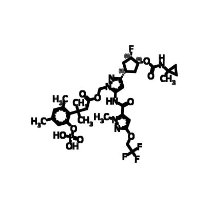 Cc1cc(C)c(C(C)(C)CC(=O)OCn2nc([C@@H]3C[C@H](F)[C@H](OC(=O)NC4(C)CC4)C3)cc2NC(=O)c2cc(OCC(F)(F)F)nn2C)c(OP(=O)(O)O)c1